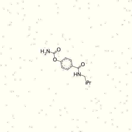 CC(C)CNC(=O)c1ccc(OC(N)=O)cc1